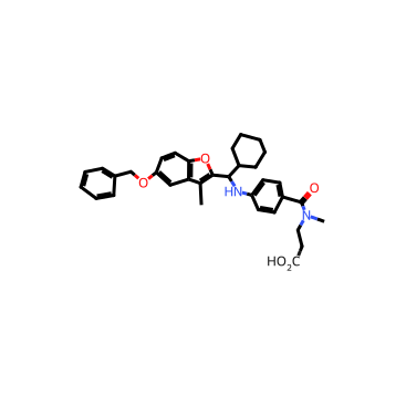 Cc1c(C(Nc2ccc(C(=O)N(C)CCC(=O)O)cc2)C2CCCCC2)oc2ccc(OCc3ccccc3)cc12